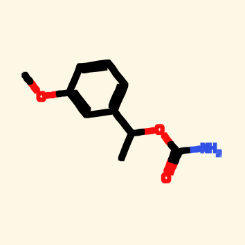 COc1cccc(C(C)OC(N)=O)c1